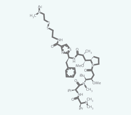 CC[C@H](C)[C@@H]([C@@H](CC(=O)N1CCC[C@H]1[C@H](OC)[C@@H](C)C(=O)N[C@@H](Cc1ccccc1)c1nc(C(=O)NCCSSCCN(C)C(C)=O)cs1)OC)N(C)C(=O)[C@@H](NC(=O)[C@H](C(C)C)N(C)C)C(C)C